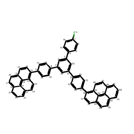 Fc1ccc(-c2cc(-c3ccc(-c4ccc5ccc6cccc7ccc4c5c67)cc3)cc(-c3ccc(-c4ccc5ccc6cccc7ccc4c5c67)cc3)c2)cc1